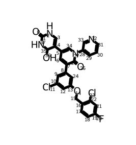 O=C1NC=C(c2cc(-c3cc(Cl)cc(OCc4ccc(F)cc4Cl)c3)c(=O)n(-c3cccnc3)c2)C(O)N1